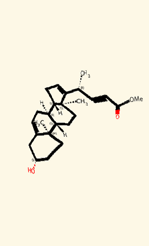 COC(=O)C=C[C@@H](C)C1=CC[C@H]2[C@@H]3CC=C4C[C@@H](O)CC[C@]4(C)[C@H]3CC[C@]12C